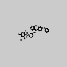 COc1c(F)c(F)c(F)c(F)c1S(=O)(=O)N1CCC[C@@H](n2nc(-c3ccc(Oc4ccccc4)cc3)c3c(N)ncnc32)C1